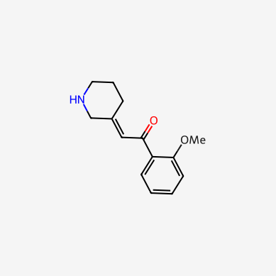 COc1ccccc1C(=O)C=C1CCCNC1